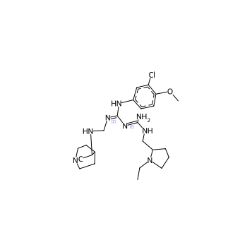 CCN1CCCC1CN/C(N)=N/C(=N\CNC1CN2CCC1CC2)Nc1ccc(OC)c(Cl)c1